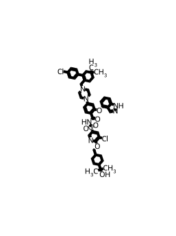 CC1(C)CCC(CN2CCN(c3ccc(C(=O)NS(=O)(=O)c4cnc(OCC5CCC(C(C)(C)O)CC5)c(Cl)c4)c(Oc4cccc5[nH]ncc45)c3)CC2)=C(c2ccc(Cl)cc2)C1